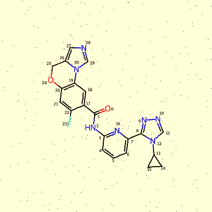 O=C(Nc1cccc(-c2nncn2C2CC2)n1)c1cc2c(cc1F)OCc1cncn1-2